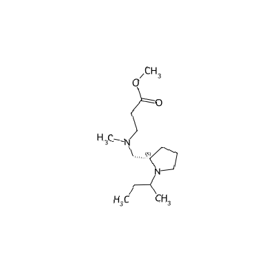 CCC(C)N1CCC[C@H]1CN(C)CCC(=O)OC